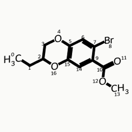 CCC1COc2cc(Br)c(C(=O)OC)cc2O1